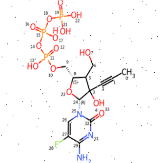 CC#CC1(O)C(CO)[C@@H](COP(=O)(O)OP(=O)(O)OP(=O)(O)O)O[C@H]1n1cc(F)c(N)nc1=O